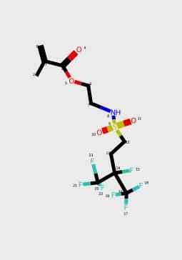 C=C(C)C(=O)OCCNS(=O)(=O)CCC(F)(C(F)(F)F)C(F)(F)F